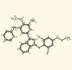 CCOc1cc(F)c(Cn2nc(-c3nc(N)c(OC)c(Nc4ccncn4)n3)c3ccccc32)c(F)c1